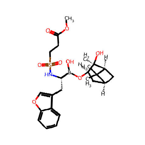 COC(=O)CCS(=O)(=O)N[C@@H](Cc1coc2ccccc12)B(O)O[C@@H]1C[C@@H]2C[C@@H](C2(C)C)[C@]1(C)O